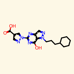 O=C(O)c1cnn(-c2nc(O)c3c(cnn3CCCC3CCCCC3)n2)c1